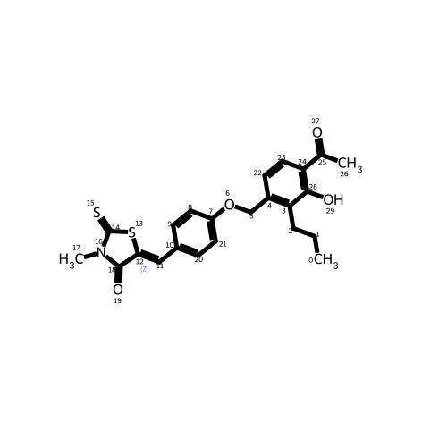 CCCc1c(COc2ccc(/C=C3\SC(=S)N(C)C3=O)cc2)ccc(C(C)=O)c1O